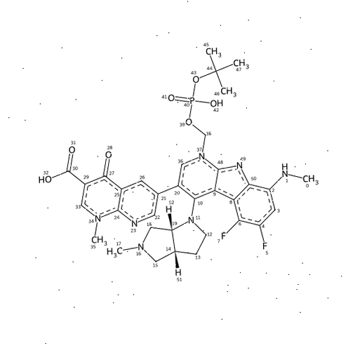 CNc1cc(F)c(F)c2c3c(N4CC[C@@H]5CN(C)C[C@@H]54)c(-c4cnc5c(c4)c(=O)c(C(=O)O)cn5C)cn(COP(=O)(O)OC(C)(C)C)c-3nc12